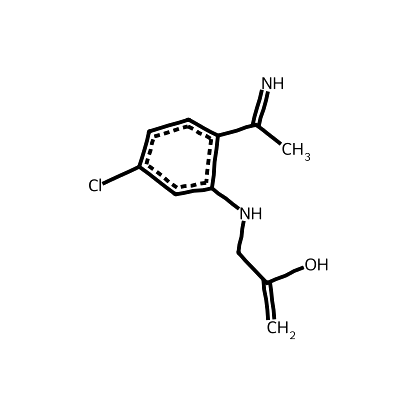 C=C(O)CNc1cc(Cl)ccc1C(C)=N